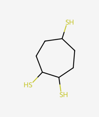 SC1CCC(S)C(S)CC1